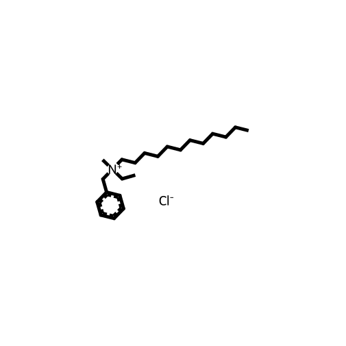 CCCCCCCCCCCC[N+](C)(CC)Cc1ccccc1.[Cl-]